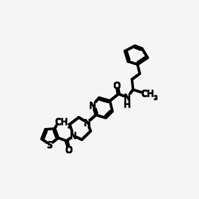 Cc1ccsc1C(=O)N1CCN(c2ccc(C(=O)NC(C)CCc3ccccc3)cn2)CC1